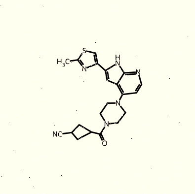 Cc1nc(-c2cc3c(N4CCN(C(=O)C5CC(C#N)C5)CC4)ccnc3[nH]2)cs1